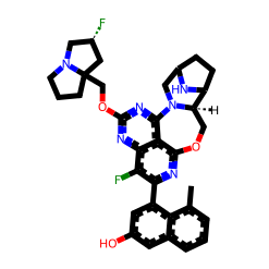 Cc1cccc2cc(O)cc(-c3nc4c5c(nc(OCC67CCCN6C[C@H](F)C7)nc5c3F)N3CC5CCC(N5)[C@H]3CO4)c12